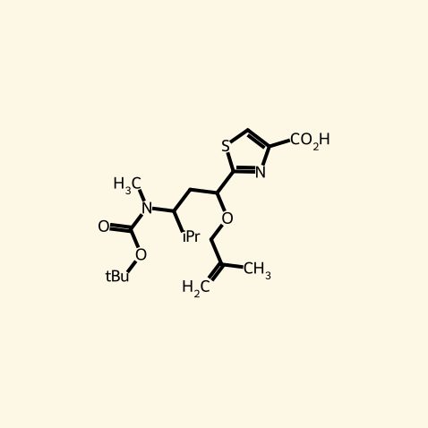 C=C(C)COC(CC(C(C)C)N(C)C(=O)OC(C)(C)C)c1nc(C(=O)O)cs1